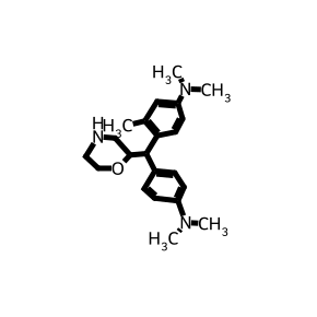 Cc1cc(N(C)C)ccc1C(c1ccc(N(C)C)cc1)C1CNCCO1